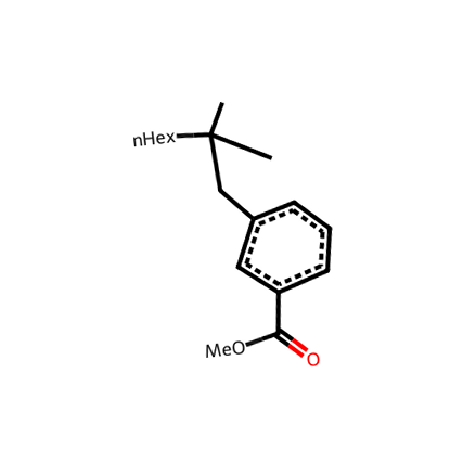 CCCCCCC(C)(C)Cc1cccc(C(=O)OC)c1